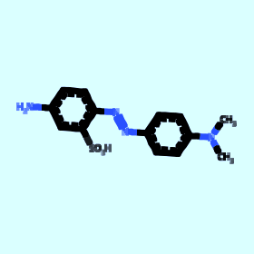 CN(C)c1ccc(/N=N/c2ccc(N)cc2S(=O)(=O)O)cc1